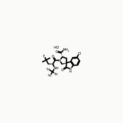 Cl.[2H]C([2H])([2H])N[C@@H](CC(C)(C)F)C(=O)N1C[C@]2(C[C@H]1C(N)=O)C(=O)Nc1ccc(Cl)cc12